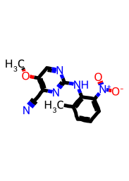 COc1cnc(Nc2c(C)cccc2[N+](=O)[O-])nc1C#N